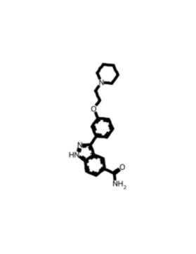 NC(=O)c1ccc2[nH]nc(-c3cccc(OCCN4CCCCC4)c3)c2c1